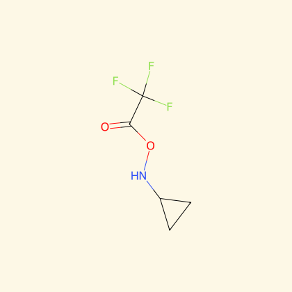 O=C(ONC1CC1)C(F)(F)F